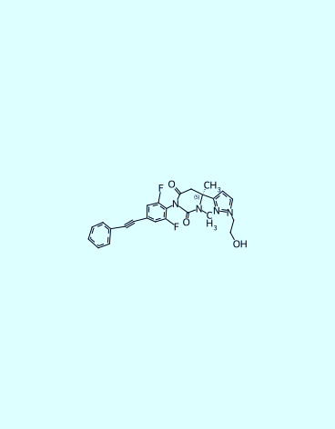 CN1C(=O)N(c2c(F)cc(C#Cc3ccccc3)cc2F)C(=O)C[C@@]1(C)c1ccn(CCO)n1